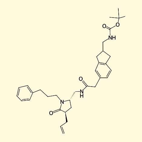 C=CC[C@@H]1C[C@@H](CNC(=O)Cc2ccc3c(c2)CC(CNC(=O)OC(C)(C)C)C3)N(CCCc2ccccc2)C1=O